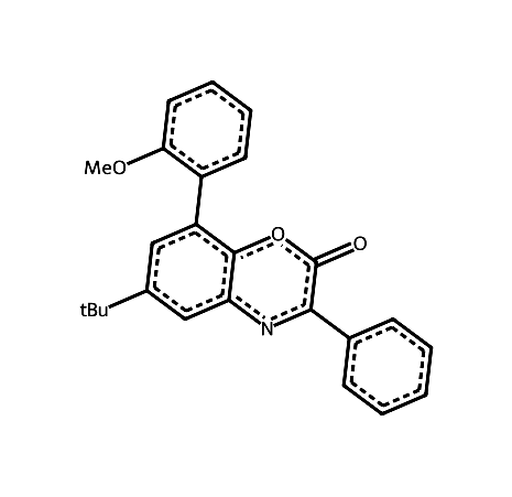 COc1ccccc1-c1cc(C(C)(C)C)cc2nc(-c3ccccc3)c(=O)oc12